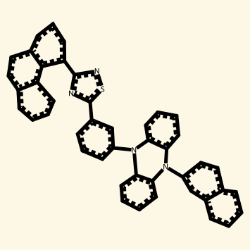 c1cc(-c2nc(-c3cccc4ccc5ccccc5c34)ns2)cc(N2c3ccccc3N(c3ccc4ccccc4c3)c3ccccc32)c1